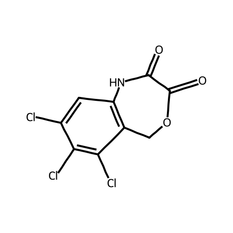 O=C1Nc2cc(Cl)c(Cl)c(Cl)c2COC1=O